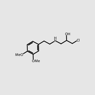 COc1ccc(CCNCC(O)CCl)cc1OC